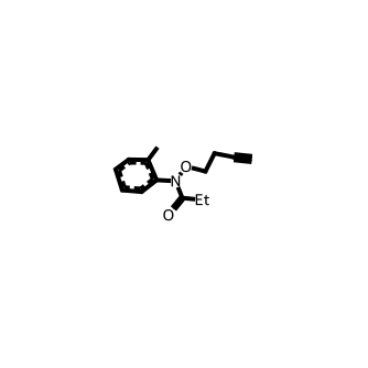 C#CCCON(C(=O)CC)c1ccccc1C